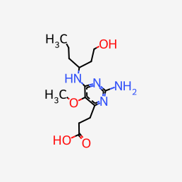 CCCC(CCO)Nc1nc(N)nc(CCC(=O)O)c1OC